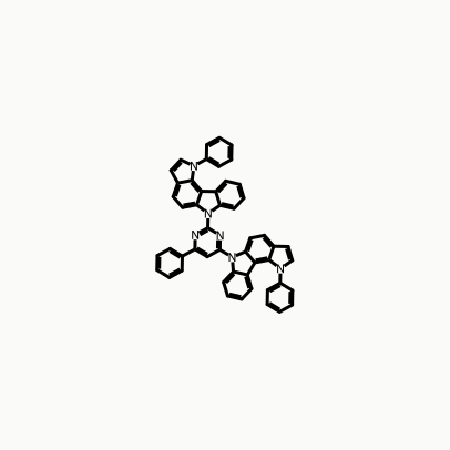 c1ccc(-c2cc(-n3c4ccccc4c4c5c(ccc43)ccn5-c3ccccc3)nc(-n3c4ccccc4c4c5c(ccc43)ccn5-c3ccccc3)n2)cc1